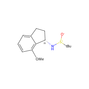 COc1cccc2c1[C@@H](N[S+]([O-])C(C)(C)C)CC2